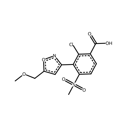 COCc1cc(-c2c(S(C)(=O)=O)ccc(C(=O)O)c2Cl)no1